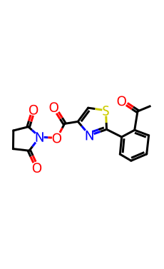 CC(=O)c1ccccc1-c1nc(C(=O)ON2C(=O)CCC2=O)cs1